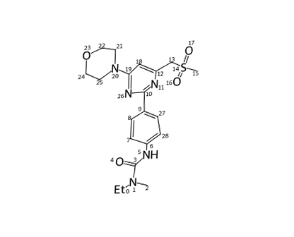 CCN(C)C(=O)Nc1ccc(-c2nc(CS(C)(=O)=O)cc(N3CCOCC3)n2)cc1